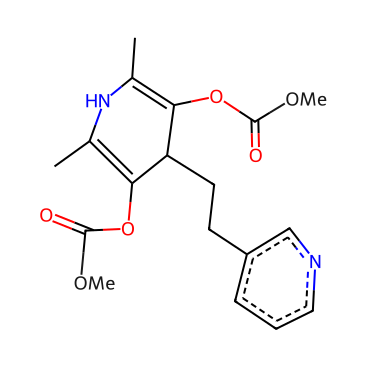 COC(=O)OC1=C(C)NC(C)=C(OC(=O)OC)C1CCc1cccnc1